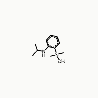 CC(C)Nc1ccccc1[Si](C)(C)O